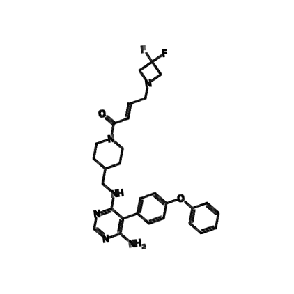 Nc1ncnc(NCC2CCN(C(=O)C=CCN3CC(F)(F)C3)CC2)c1-c1ccc(Oc2ccccc2)cc1